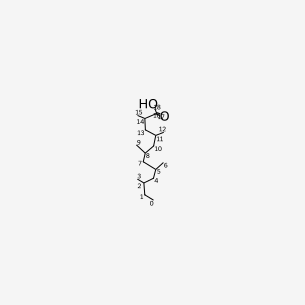 CCC(C)CC(C)CC(C)CC(C)CC(C)C(=O)O